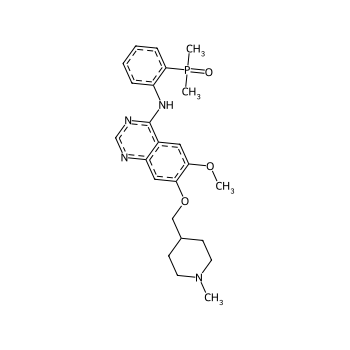 COc1cc2c(Nc3ccccc3P(C)(C)=O)ncnc2cc1OCC1CCN(C)CC1